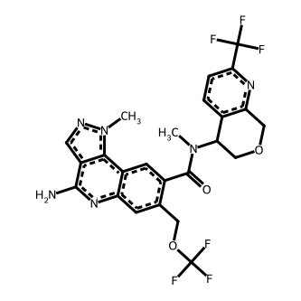 CN(C(=O)c1cc2c(cc1COC(F)(F)F)nc(N)c1cnn(C)c12)C1COCc2nc(C(F)(F)F)ccc21